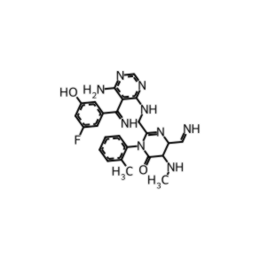 CNC1C(=O)N(c2ccccc2C)C(CNc2ncnc(N)c2C(=N)c2cc(O)cc(F)c2)=NC1C=N